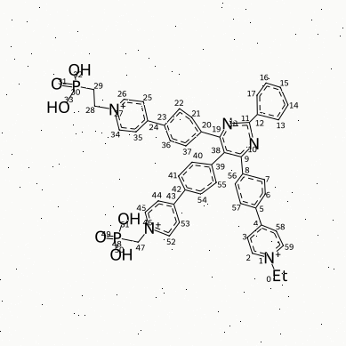 CC[n+]1ccc(-c2ccc(-c3nc(-c4ccccc4)nc(-c4ccc(-c5cc[n+](CCP(=O)(O)O)cc5)cc4)c3-c3ccc(-c4cc[n+](CP(=O)(O)O)cc4)cc3)cc2)cc1